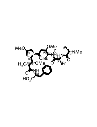 CC[C@H](C)[C@@H]([C@@H](CC(=O)N1C[C@H](OC)C[C@H]1[C@H](OC)[C@@H](C)C(=O)N[C@@H](Cc1ccccc1)C(=O)O)OC)N(C)C(=O)[C@@H](NC(=O)[C@@H](NC)C(C)C)C(C)C